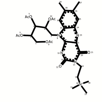 CC(=O)OCC(OC(C)=O)C(OC(C)=O)C(Cn1c2nc(=O)n(CC[N+](C)(C)C)c(=O)c-2nc2cc(C)c(C)cc21)OC(C)=O